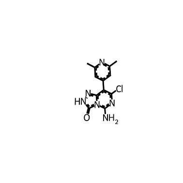 Cc1cc(-c2c(Cl)nc(N)n3c(=O)[nH]nc23)cc(C)n1